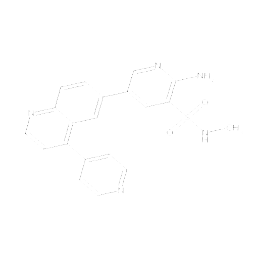 CNS(=O)(=O)c1cc(-c2ccc3nccc(-c4ccncc4)c3c2)cnc1N